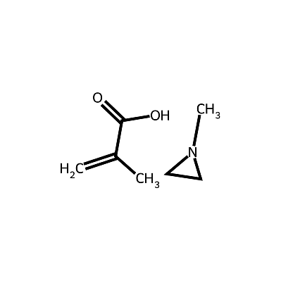 C=C(C)C(=O)O.CN1CC1